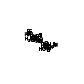 Cc1ncsc1-c1ccc(CNC(=O)[C@@H]2C[C@@H](O)CN2C(=O)C(NC(=O)CCCCOC(=O)c2ccc(Nc3c(C(N)=O)c(-c4ccc(NS(=O)(=O)C(F)F)cc4)nn3COCC[Si](C)(C)C)nc2)C(C)(C)C)cc1